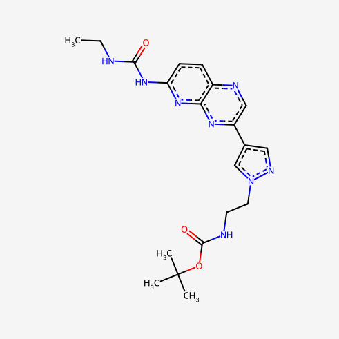 CCNC(=O)Nc1ccc2ncc(-c3cnn(CCNC(=O)OC(C)(C)C)c3)nc2n1